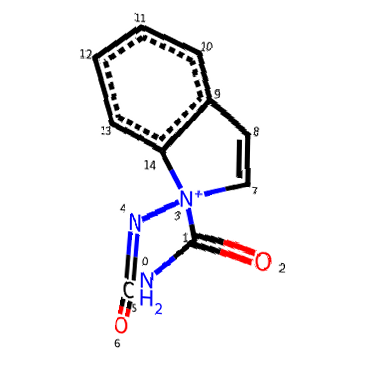 NC(=O)[N+]1(N=C=O)C=Cc2ccccc21